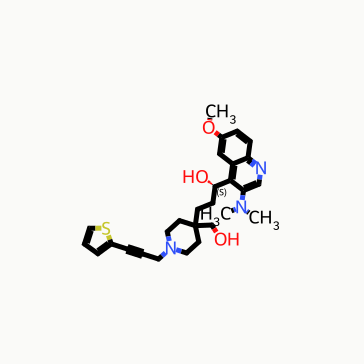 COc1ccc2ncc(N(C)C)c([C@@H](O)CCC3(CO)CCN(CC#Cc4cccs4)CC3)c2c1